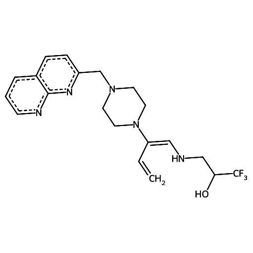 C=C/C(=C\NCC(O)C(F)(F)F)N1CCN(Cc2ccc3cccnc3n2)CC1